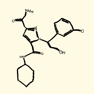 CNC(=O)c1cc(C(=O)NC2CCCCC2)n(C(CO)c2cccc(Cl)c2)n1